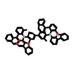 Cc1cc(-c2ccc(N(c3c(C)cccc3-c3cccc4ccccc34)c3cccc4c3oc3ccccc34)c(C)c2)ccc1N(c1c(C)cccc1-c1cccc2ccccc12)c1cccc2c1oc1ccccc12